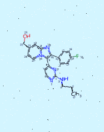 CCCNc1nccc(-c2c(-c3ccc(F)cc3)nc3cc(CO)ccn23)n1